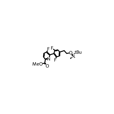 COC(=O)c1ccc(F)c(-c2c(F)cc(CCO[Si](C)(C)C(C)(C)C)cc2F)n1